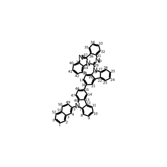 c1ccc2cc(-n3c4ccccc4c4cc(-c5ccc6c(c5)c5ccccc5n6-c5nc6ccccc6c6nc7ccccc7n56)ccc43)ccc2c1